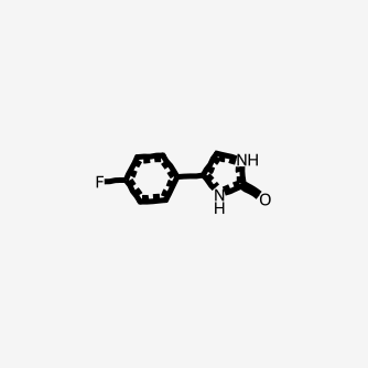 O=c1[nH]cc(-c2ccc(F)cc2)[nH]1